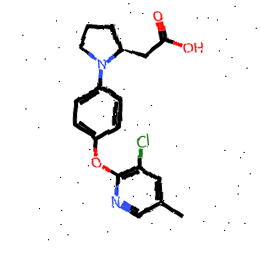 Cc1cnc(Oc2ccc(N3CCC[C@H]3CC(=O)O)cc2)c(Cl)c1